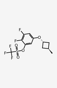 C[C@H]1C[C@H](Oc2cc(F)c(F)c(OS(=O)(=O)C(F)(F)F)c2)C1